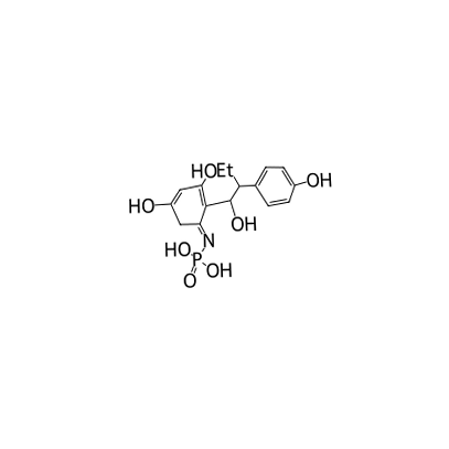 CCC(c1ccc(O)cc1)C(O)C1=C(O)C=C(O)CC1=NP(=O)(O)O